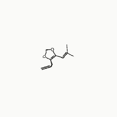 C=CC1=C(C=C(C)C)OCO1